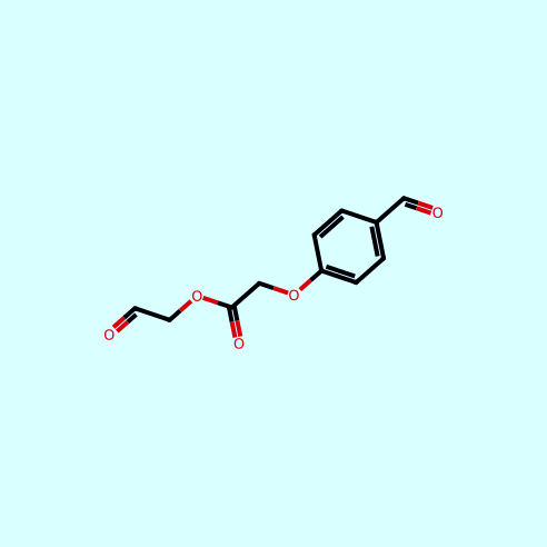 O=CCOC(=O)COc1ccc(C=O)cc1